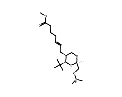 COC(=O)CCCC=CC[C@H]1CO[C@@](C)(CO[SiH](C)C)O[C@H]1C(C)(C)C